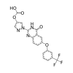 O=C(O)Oc1cnn(-c2nc3ccc(Oc4cccc(C(F)(F)F)c4)cc3c(=O)[nH]2)c1